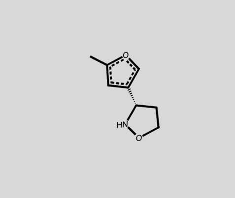 Cc1cc([C@@H]2CCON2)co1